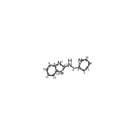 c1ccc(CNc2nc3ccccc3s2)nc1